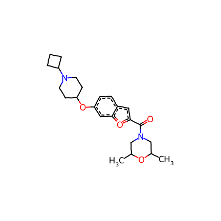 CC1CN(C(=O)c2cc3ccc(OC4CCN(C5CCC5)CC4)cc3o2)CC(C)O1